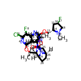 C[C@@H]1Oc2nc(Cl)c(F)c3nc(OC[C@@H]4C[C@@H](F)CN4C)nc(c23)N2C[C@H]3CC[C@@H]([C@@H]12)N3C(=O)OC(C)(C)C